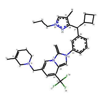 C=C1N2C=C(CN3CCC=C(C)C3)C=C(C(F)(F)F)C2=CN1c1cccc(C(c2nn(CCC)cc2C)C2CCC2)c1